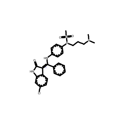 CN(C)CCCN(c1ccc(N/C(=C2\C(=O)Nc3cc(Cl)ccc32)c2ccccc2)cc1)S(C)(=O)=O